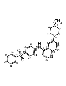 CN1CCN(c2cc3c(Nc4ccc(S(=O)(=O)c5ccccc5)cc4)ncnc3cn2)CC1